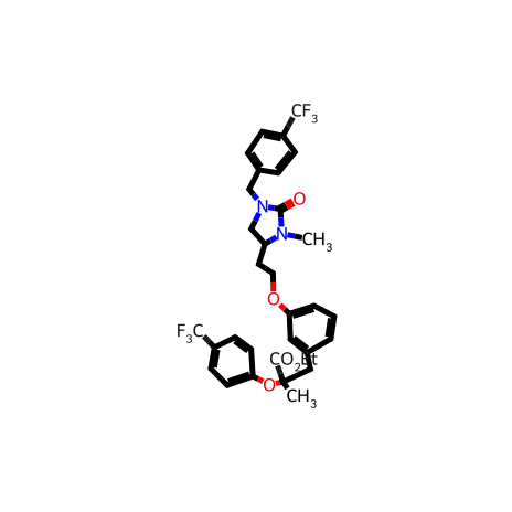 CCOC(=O)C(C)(Cc1cccc(OCCC2CN(Cc3ccc(C(F)(F)F)cc3)C(=O)N2C)c1)Oc1ccc(C(F)(F)F)cc1